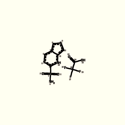 NS(=O)(=O)c1ncc2cncc-2[nH]1.O=C(O)C(F)(F)F